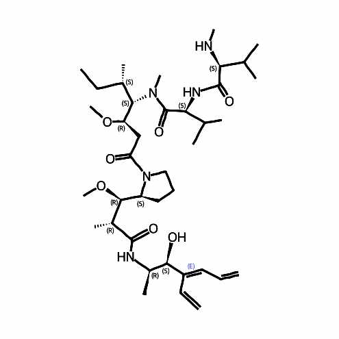 C=C/C=C(\C=C)[C@H](O)[C@@H](C)NC(=O)[C@H](C)[C@@H](OC)[C@@H]1CCCN1C(=O)C[C@@H](OC)[C@H]([C@@H](C)CC)N(C)C(=O)[C@@H](NC(=O)[C@@H](NC)C(C)C)C(C)C